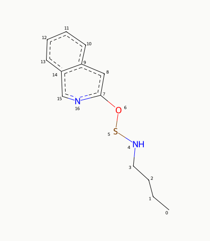 CCCCNSOc1cc2ccccc2cn1